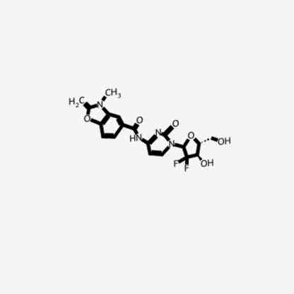 C=C1Oc2ccc(C(=O)Nc3ccn(C4O[C@H](CO)[C@@H](O)C4(F)F)c(=O)n3)cc2N1C